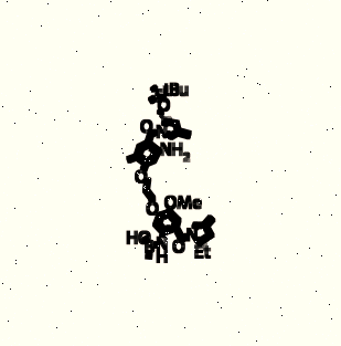 C=C1C[C@@H](CO[Si](C)(C)C(C)(C)C)N(C(=O)c2cc(C)c(OCCCOc3cc(NB(C)O)c(C(=O)N4CC(=C)C[C@H]4CC)cc3OC)cc2N)C1